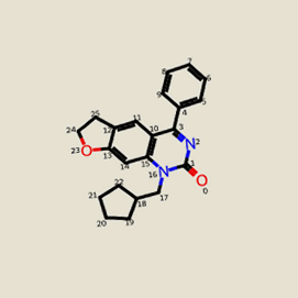 O=c1nc(-c2ccccc2)c2cc3c(cc2n1CC1CCCC1)OCC3